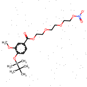 COc1cc(C(=O)OCCOCCOCCO[N+](=O)[O-])ccc1O[Si](C)(C)C(C)(C)C